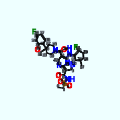 CCS(=O)(=O)NC(=O)c1cnn2c(Nc3cc(C)ccc3F)c(C(=O)N3CCC4(CC3)COc3cc(F)ccc34)cnc12